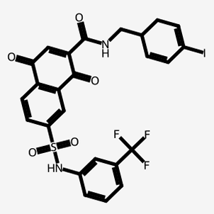 O=C(NCC1C=CC(I)=CC1)C1=CC(=O)c2ccc(S(=O)(=O)Nc3cccc(C(F)(F)F)c3)cc2C1=O